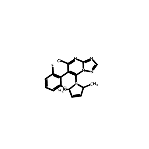 CC1C=CC(C)N1c1c(-c2c(F)cccc2Cl)c(Cl)nc2ncnn12